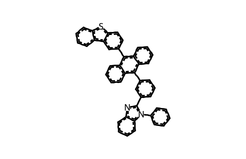 c1ccc(-n2c(-c3cccc(-c4c5ccccc5c(-c5ccc6sc7ccccc7c6c5)c5ccccc45)c3)nc3ccccc32)cc1